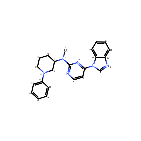 CCN(c1nccc(-n2cnc3ccccc32)n1)C1CCCN(c2ccccc2)C1